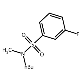 CCCCN(C)S(=O)(=O)c1cccc(F)c1